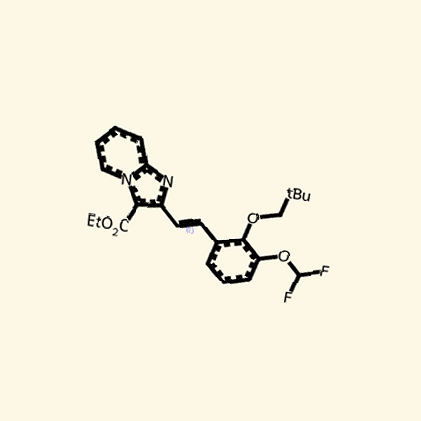 CCOC(=O)c1c(/C=C/c2cccc(OC(F)F)c2OCC(C)(C)C)nc2ccccn12